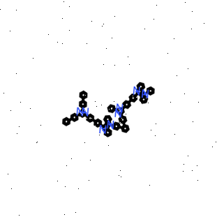 c1ccc(-c2ccc(-c3cc(-c4ccc(-c5ccc(-c6nc7ccccc7c7c6c6ccccc6n7-c6ccc(-c7ccccc7-c7ccc(-c8cc(-c9ccc(-c%10ccc(-c%11nc%12ccccc%12c%12c%11c%11ccccc%11n%12-c%11ccccc%11)cc%10)cc9)nc(-c9ccccc9)n8)cc7)cc6)cc5)cc4)nc(-c4ccc(-c5ccccc5)cc4)n3)cc2)cc1